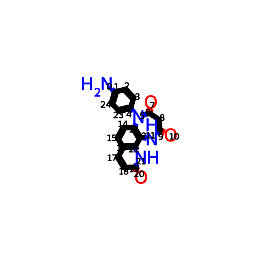 Nc1ccc(N2C(=O)CC(=O)Nc3c2ccc2ccc(=O)[nH]c32)cc1